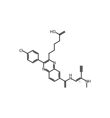 C#C/C(=C\NC(=C)c1ccc2nc(-c3ccc(Cl)cc3)c(CCCCC(=C)O)nc2c1)NC